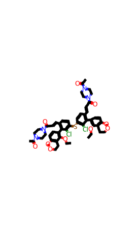 CCOc1c(-c2c(/C=C/C(=O)N3CCN(C(C)=O)CC3)ccc(Sc3ccc(/C=C/C(=O)N4CCN(C(C)=O)CC4)c(-c4ccc5c(c4OCC)CCOO5)c3Cl)c2Cl)ccc2c1CCOO2